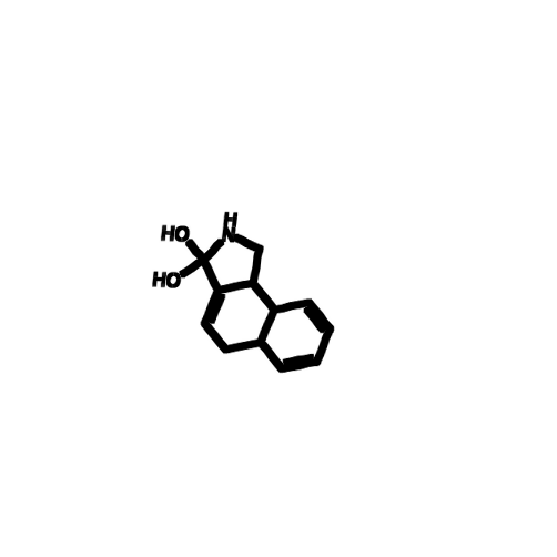 OC1(O)NCC2C1=CCC1C=CC=CC12